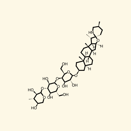 C[C@H]1CC[C@]2(NC1)O[C@H]1C[C@H]3[C@@H]4CC[C@H]5C[C@@H](O[C@@H]6O[C@H](CO)[C@H](O[C@H]7O[C@H](CO)[C@@H](O)[C@H](OC8OC[C@@H](O)[C@H](C)[C@H]8O)[C@H]7O)[C@H](O)[C@H]6O)CC[C@]5(C)[C@H]4CC[C@]3(C)[C@H]1[C@@H]2C